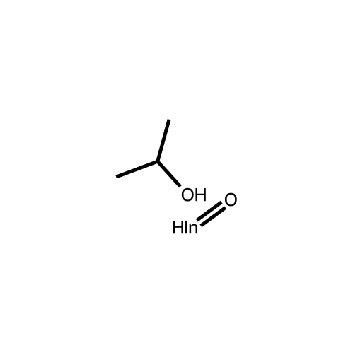 CC(C)O.[O]=[InH]